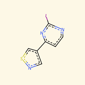 Ic1nccc(-c2cnsc2)n1